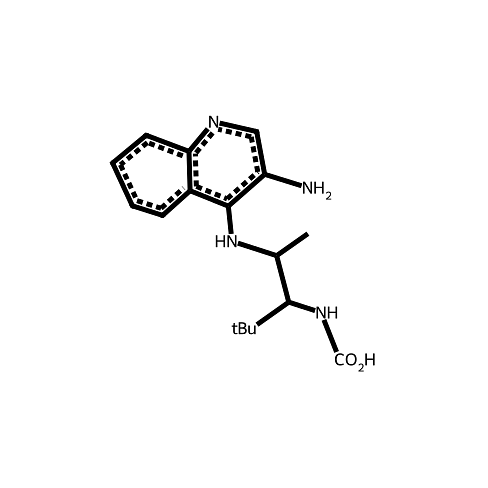 CC(Nc1c(N)cnc2ccccc12)C(NC(=O)O)C(C)(C)C